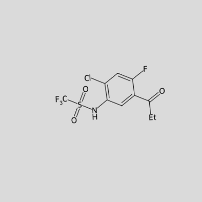 CCC(=O)c1cc(NS(=O)(=O)C(F)(F)F)c(Cl)cc1F